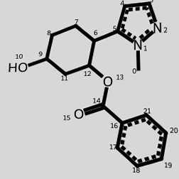 Cn1nccc1C1CCC(O)CC1OC(=O)c1ccccc1